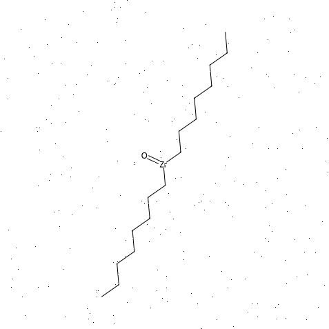 CCCCCCC[CH2][Zr](=[O])[CH2]CCCCCCC